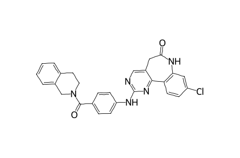 O=C1Cc2cnc(Nc3ccc(C(=O)N4CCc5ccccc5C4)cc3)nc2-c2ccc(Cl)cc2N1